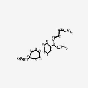 C=CCOC(C)[C@H]1CC[C@H](C2CCC(CCCCC)CC2)CC1